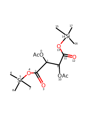 CC(=O)OC(C(=O)O[Si](C)(C)C)C(OC(C)=O)C(=O)O[Si](C)(C)C